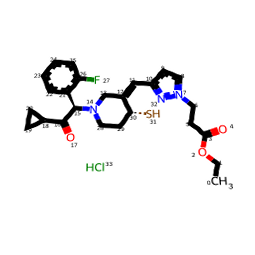 CCOC(=O)CCn1ccc(C=C2CN([C@@H](C(=O)C3CC3)c3ccccc3F)CC[C@H]2S)n1.Cl